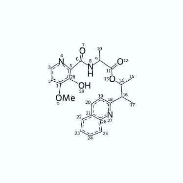 COc1ccnc(C(=O)NC(C)C(=O)OC(C)C(C)c2ccc3ccccc3n2)c1O